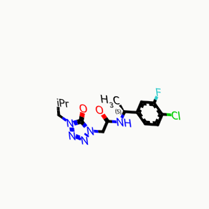 CC(C)Cn1nnn(CC(=O)N[C@@H](C)c2ccc(Cl)c(F)c2)c1=O